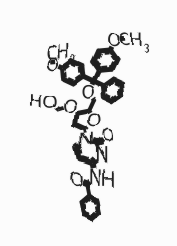 COc1ccc(C(OCC2O[C@@H](n3ccc(NC(=O)c4ccccc4)nc3=O)C[C@@H]2OCO)(c2ccccc2)c2ccc(OC)cc2)cc1